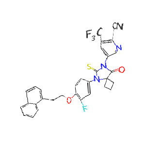 N#Cc1ncc(N2C(=O)C3(CCC3)N(c3ccc(OCCc4cccc5ccccc45)c(F)c3)C2=S)cc1C(F)(F)F